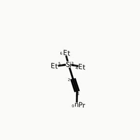 CCCC#C[Si](CC)(CC)CC